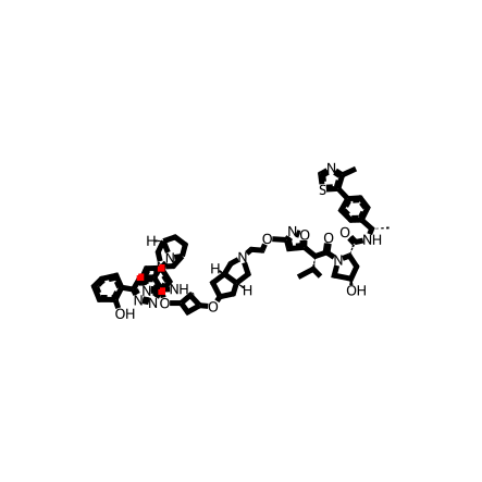 Cc1ncsc1-c1ccc([C@H](C)NC(=O)[C@@H]2C[C@@H](O)CN2C(=O)[C@@H](c2cc(OCCN3C[C@H]4CC(OC5CC(Oc6cc(N7C8CC[C@@H]7CN(c7cc(-c9ccccc9O)nnc7N)C8)ccn6)C5)C[C@H]4C3)no2)C(C)C)cc1